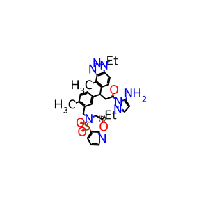 CC[C@@H]1CN(Cc2cc(C(CC(=O)n3nccc3N)c3ccc4c(nnn4CC)c3C)ccc2C)S(=O)(=O)c2cccnc2O1